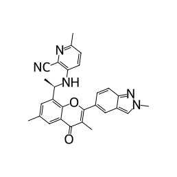 Cc1cc([C@@H](C)Nc2ccc(C)nc2C#N)c2oc(-c3ccc4nn(C)cc4c3)c(C)c(=O)c2c1